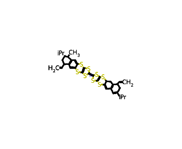 C=CC1CC(C(C)C)=CC2=C1CC1SC3=C(SC1=C2)S/C(=C1\SC2=C(S1)Sc1cc4c(cc1S2)C(C=C)CC(C(C)C)C4C)S3